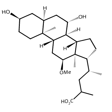 CO[C@H]1C[C@H]2[C@@H]([C@@H](O)C[C@@H]3C[C@H](O)CC[C@@]32C)[C@@H]2CC[C@H]([C@H](C)CC(C)C(=O)O)[C@@]12C